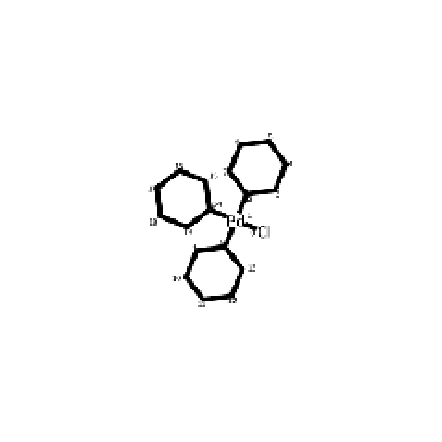 [Cl][Pd]([CH]1CCCCC1)([CH]1CCCCC1)[CH]1CCCCC1